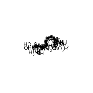 N=C(N)NCCC[C@H](NC(=O)Cc1ccc(-c2ccc(-c3ccc(-c4ccc(CC(=O)N[C@@H](CCCNC(=N)N)C(=O)NCC(=O)N[C@@H](CC(=O)O)C(=O)O)s4)s3)s2)s1)C(=O)NCC(=O)N[C@@H](COC=O)C(=O)O